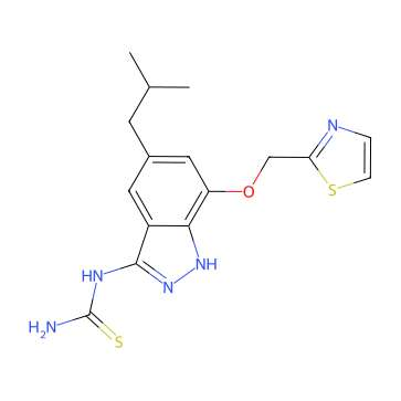 CC(C)Cc1cc(OCc2nccs2)c2[nH]nc(NC(N)=S)c2c1